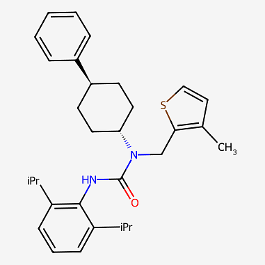 Cc1ccsc1CN(C(=O)Nc1c(C(C)C)cccc1C(C)C)[C@H]1CC[C@H](c2ccccc2)CC1